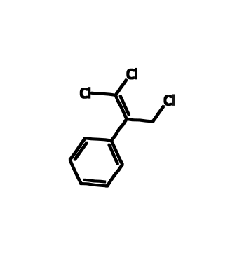 ClCC(=C(Cl)Cl)c1ccccc1